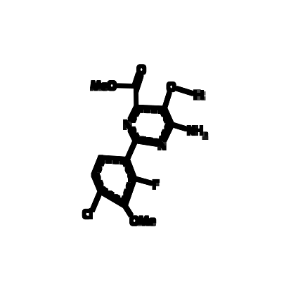 CCOc1c(N)nc(-c2ccc(Cl)c(OC)c2F)nc1C(=O)OC